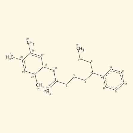 C=C(CCCC(CCC)c1ccccc1)SC1C=C(C)C(C)=CC1C